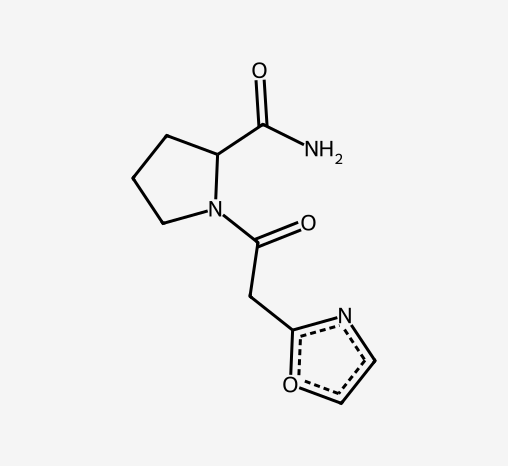 NC(=O)C1CCCN1C(=O)Cc1ncco1